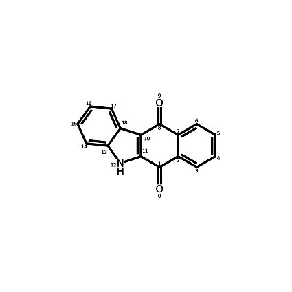 O=C1c2ccccc2C(=O)c2c1[nH]c1ccccc21